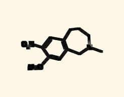 COc1cc2c(cc1[N+](=O)[O-])CCCN(C)C2